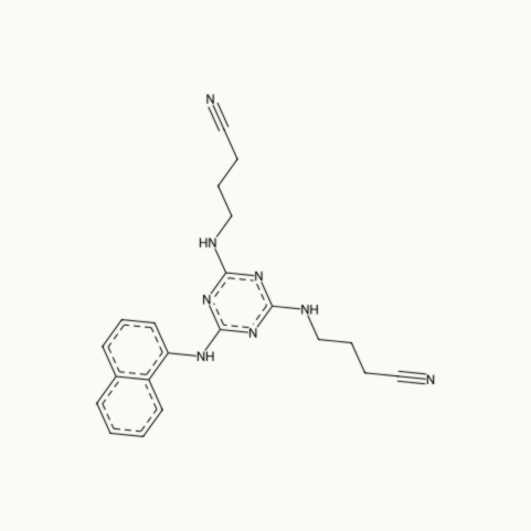 N#CCCCNc1nc(NCCCC#N)nc(Nc2cccc3ccccc23)n1